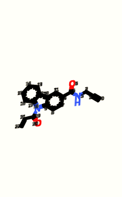 C#CCNC(=O)c1ccc2c(c1)c1ccccc1n2C(=O)C=C